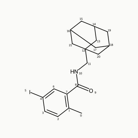 Cc1ccc(I)cc1C(=O)NCC12CC3CC(CC(C3)C1)C2